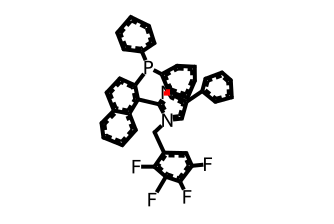 Fc1cc(Cn2cc(-c3ccccc3)nc2-c2c(P(c3ccccc3)c3ccccc3)ccc3ccccc23)c(F)c(F)c1F